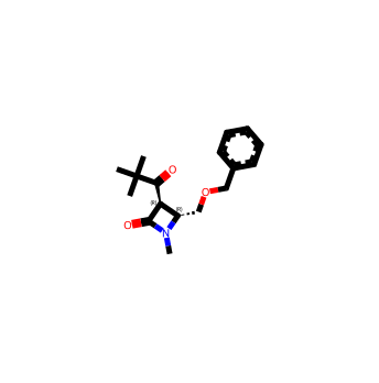 CN1C(=O)[C@@H](C(=O)C(C)(C)C)[C@@H]1COCc1ccccc1